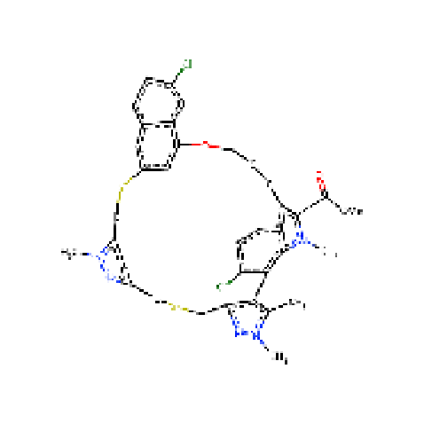 COC(=O)c1c2c3ccc(Cl)c(c3n1C)-c1c(nn(C)c1C)CSCc1cc(n(C)n1)CSc1cc(c3cc(Cl)ccc3c1)OCCC2